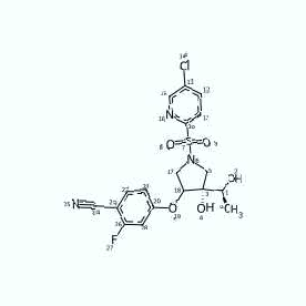 C[C@H](O)[C@]1(O)CN(S(=O)(=O)c2ccc(Cl)cn2)CC1Oc1ccc(C#N)c(F)c1